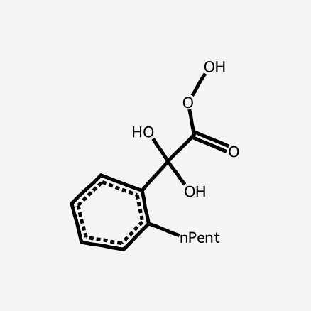 CCCCCc1ccccc1C(O)(O)C(=O)OO